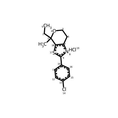 CCC1(C)OCCc2nc(-c3ccc(Cl)cc3)sc21.Cl